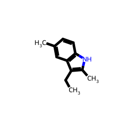 CCc1c(C)[nH]c2ccc(C)cc12